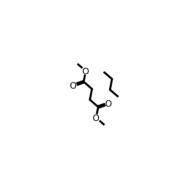 CCCC.COC(=O)CCC(=O)OC